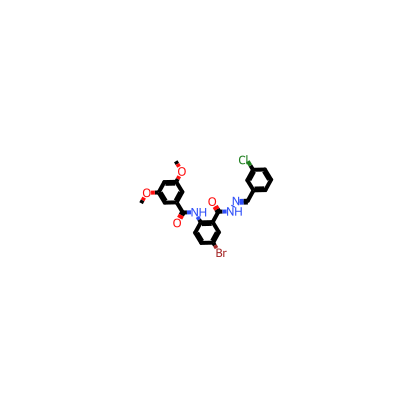 COc1cc(OC)cc(C(=O)Nc2ccc(Br)cc2C(=O)NN=Cc2cccc(Cl)c2)c1